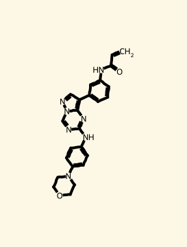 C=CC(=O)Nc1cccc(-c2cnn3cnc(Nc4ccc(N5CCOCC5)cc4)nc23)c1